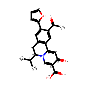 CC(=O)c1cc2c(cc1-c1ccco1)CC(C(C)C)n1cc(C(=O)O)c(=O)cc1-2